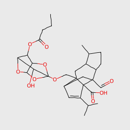 CCCC(=O)OC1C2OC3(OCC45CC6C(C)CCC6C6(C=O)CC4C=C(C(C)C)C65C(=O)O)OC2OC1C3O